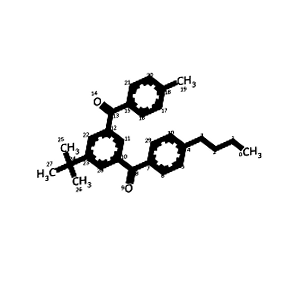 CCCCc1ccc(C(=O)c2cc(C(=O)c3ccc(C)cc3)cc(C(C)(C)C)c2)cc1